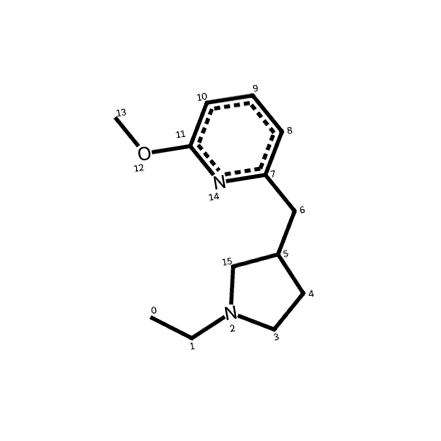 CCN1CCC(Cc2cccc(OC)n2)C1